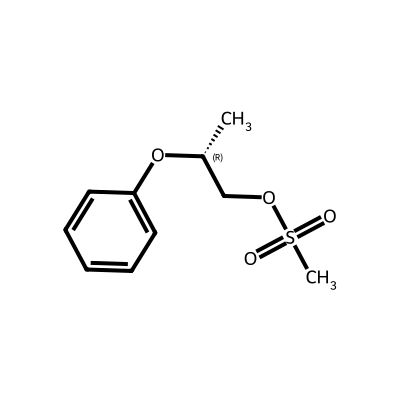 C[C@H](COS(C)(=O)=O)Oc1ccccc1